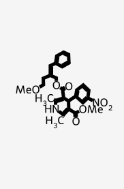 COCCC(=Cc1ccccc1)COC(=O)C1=C(C)NC(C)=C(C(=O)OC)C1c1cccc([N+](=O)[O-])c1